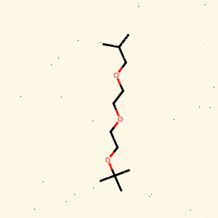 CC(C)COCCOCCOC(C)(C)C